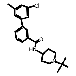 Cc1cc(Cl)cc(-c2cccc(C(=O)NC3CCN(C(C)(C)C)CC3)c2)c1